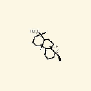 C=C[C@@]1(C)CCC=C2[C@H]1CCC1[C@](C)(C(=O)O)CCC[C@@]21C